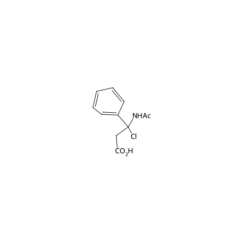 CC(=O)NC(Cl)(CC(=O)O)c1ccccc1